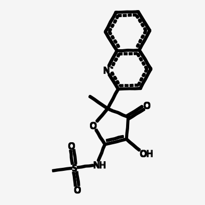 CC1(c2ccc3ccccc3n2)OC(NS(C)(=O)=O)=C(O)C1=O